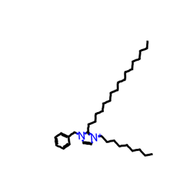 CCCCCCCCCCCCCCCCCc1n(Cc2ccccc2)cc[n+]1CCCCCCCCC